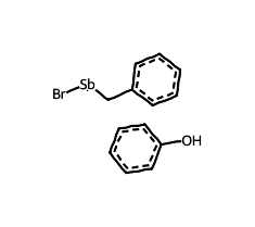 Oc1ccccc1.[Br][Sb][CH2]c1ccccc1